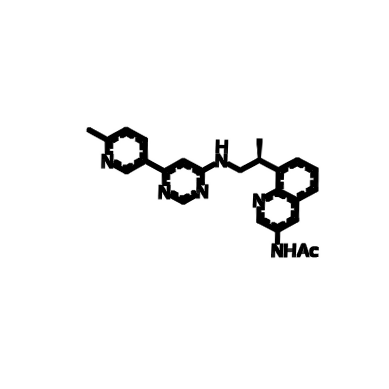 CC(=O)Nc1cnc2c([C@H](C)CNc3cc(-c4ccc(C)nc4)ncn3)cccc2c1